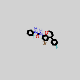 O=C(Nc1ccccc1F)Nc1cc(Br)cc2c1OCC=CC2c1ccc(F)cc1